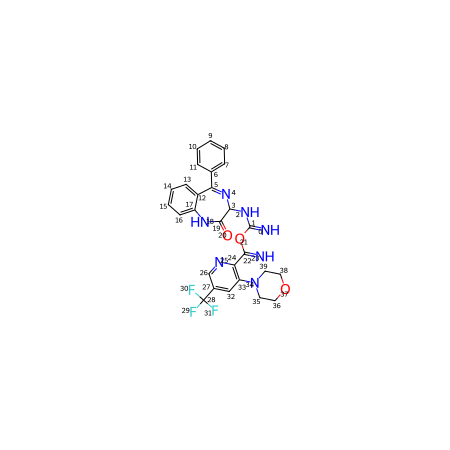 N=C(NC1N=C(c2ccccc2)c2ccccc2NC1=O)OC(=N)c1ncc(C(F)(F)F)cc1N1CCOCC1